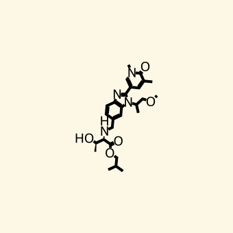 COCC(C)n1c(-c2cc(C)c(=O)n(C)c2)nc2ccc(CN[C@H](C(=O)OCC(C)C)[C@@H](C)O)cc21